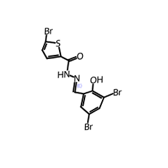 O=C(N/N=C/c1cc(Br)cc(Br)c1O)c1ccc(Br)s1